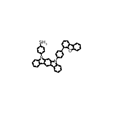 [SiH3]c1ccc(-n2c3ccccc3c3cc4c5ccccc5n(-c5ccc(-c6cccc7c6oc6ccccc67)cc5)c4cc32)cc1